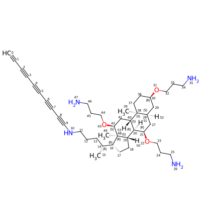 C#CC#CC#CC#CC#CNCCC[C@@H](C)[C@H]1CC[C@H]2[C@@H]3[C@H](OCCCN)C[C@@H]4C[C@H](OCCCN)CC[C@]4(C)[C@H]3C[C@H](OCCCN)[C@]12C